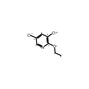 CCOc1ncc(Cl)cc1Cl